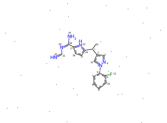 CC(c1cnn(-c2ccccc2F)c1)c1ccc(/C(N)=N\C=N)[nH]1